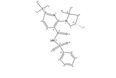 C[C@@H]1CN(c2nc(S(C)(C)C)ccc2C(=O)NS(=O)(=O)c2ccccc2)C(C)(C)C1